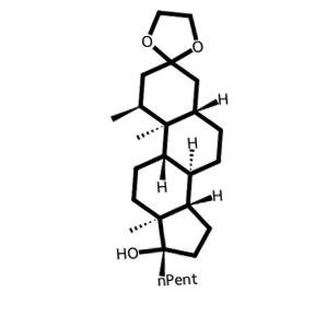 CCCCC[C@]1(O)CC[C@H]2[C@@H]3CC[C@H]4CC5(C[C@H](C)[C@]4(C)[C@H]3CC[C@@]21C)OCCO5